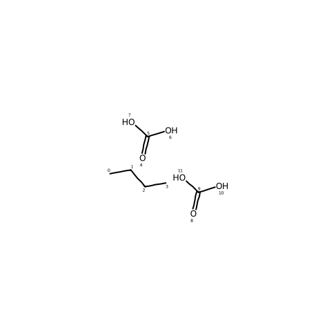 CCCC.O=C(O)O.O=C(O)O